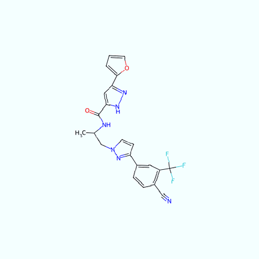 CC(Cn1ccc(-c2ccc(C#N)c(C(F)(F)F)c2)n1)NC(=O)c1cc(-c2ccco2)n[nH]1